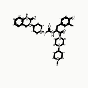 Cc1cc(CC(NC(=O)ON2CCC(N3Cc4ccccc4NC3=O)CC2)C(=O)N2CCN(C3CCN(C)CC3)CC2)ccc1Cl